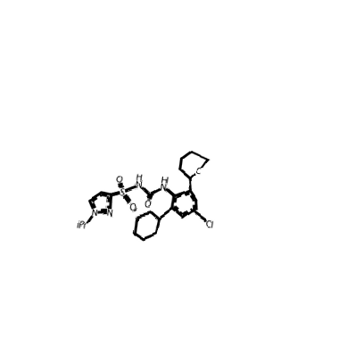 CC(C)n1ccc(S(=O)(=O)NC(=O)Nc2c(C3CCCCC3)cc(Cl)cc2C2CCCCC2)n1